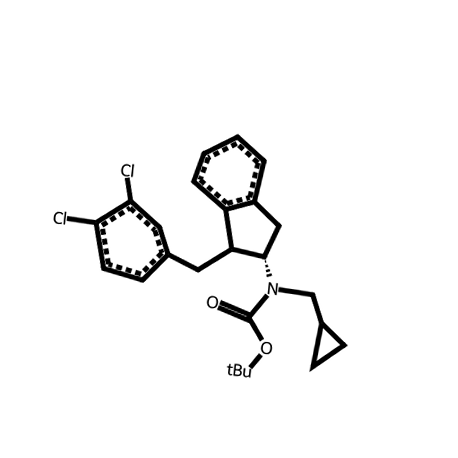 CC(C)(C)OC(=O)N(CC1CC1)[C@H]1Cc2ccccc2C1Cc1ccc(Cl)c(Cl)c1